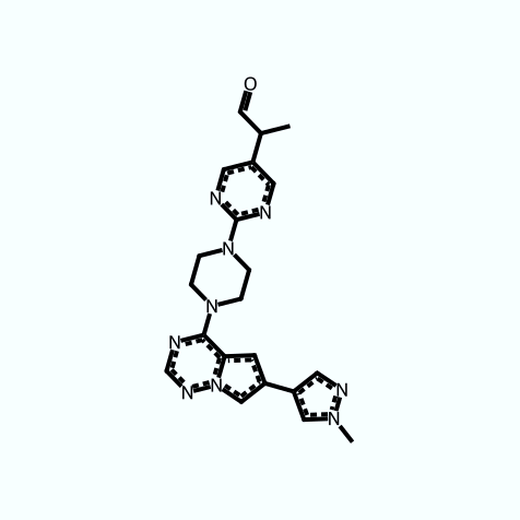 CC(C=O)c1cnc(N2CCN(c3ncnn4cc(-c5cnn(C)c5)cc34)CC2)nc1